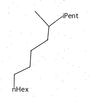 CCCCCCCCCCC(C)C(C)CCC